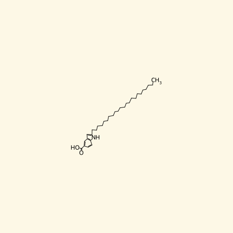 CCCCCCCCCCCCCCCCCCCCCCCc1cc2cc(C(=O)O)ccc2[nH]1